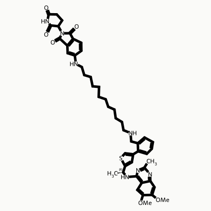 COc1cc2nc(C)nc(N[C@H](C)c3cc(-c4ccccc4CNCCCCCCCCCCCCNc4ccc5c(c4)C(=O)N(C4CCC(=O)NC4=O)C5=O)cs3)c2cc1OC